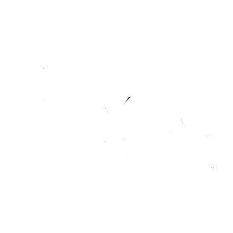 CC[C@H]1C(=O)N(Cc2ccc3c(N)ncnc3c2)CCN1C(=O)c1ccc2c(Cl)c[nH]c2c1